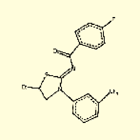 CCC1CN(c2cccc(C(F)(F)F)c2)C(=NC(=O)c2ccc(F)cc2)S1